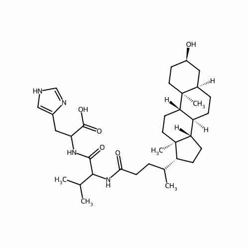 CC(C)C(NC(=O)CCC(C)[C@H]1CC[C@H]2[C@@H]3CC[C@@H]4C[C@H](O)CC[C@]4(C)[C@H]3CC[C@]12C)C(=O)NC(Cc1c[nH]cn1)C(=O)O